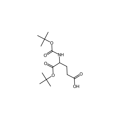 CC(C)(C)OC(=O)NC(CCC(=O)O)C(=O)OC(C)(C)C